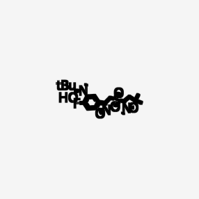 CN1OC(C)(C)CC1S(=O)(=O)Cc1noc2cc(F)c(N(C)C(O)C(C)(C)C)cc12